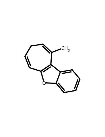 CC1=CCC=Cc2oc3ccccc3c21